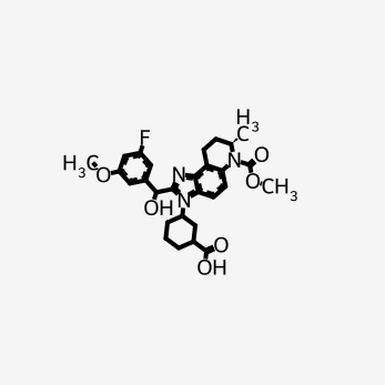 COC(=O)N1c2ccc3c(nc(C(O)c4cc(F)cc(OC)c4)n3C3CCCC(C(=O)O)C3)c2CC[C@@H]1C